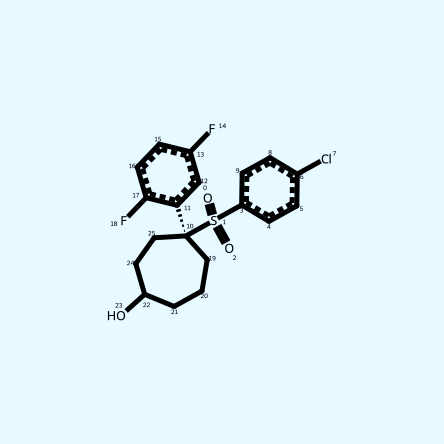 O=S(=O)(c1ccc(Cl)cc1)[C@@]1(c2cc(F)ccc2F)CCCC(O)CC1